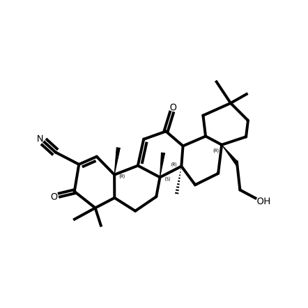 CC1(C)CC[C@]2(CCO)CC[C@]3(C)C(C(=O)C=C4[C@@]5(C)C=C(C#N)C(=O)C(C)(C)C5CC[C@]43C)C2C1